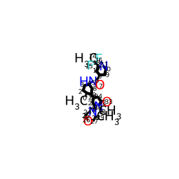 Cc1ccc(NC(=O)c2ccnc(C(C)(F)F)c2)cc1-c1cc(N2CCOCC2C)n(C)c(=O)c1